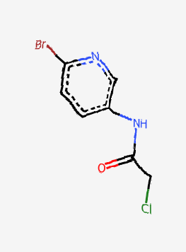 O=C(CCl)Nc1ccc(Br)nc1